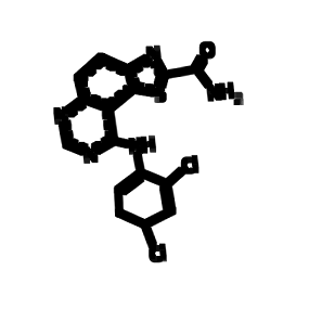 NC(=O)c1nc2ccc3ncnc(NC4=CCC(Cl)C=C4Cl)c3c2s1